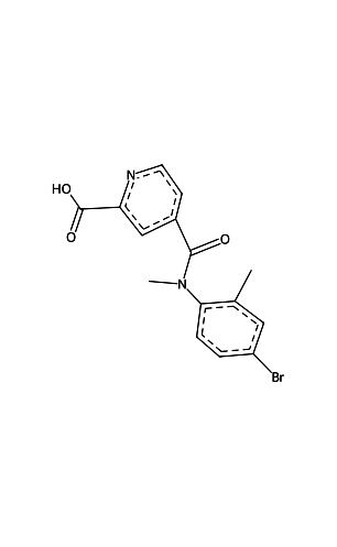 Cc1cc(Br)ccc1N(C)C(=O)c1ccnc(C(=O)O)c1